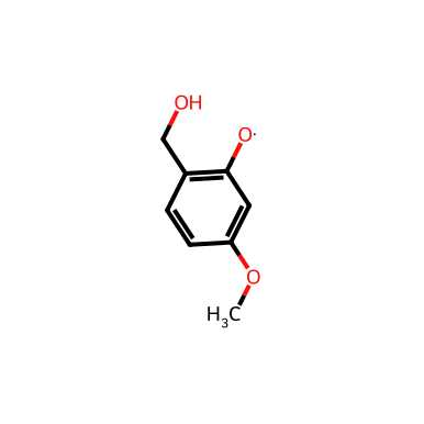 COc1ccc(CO)c([O])c1